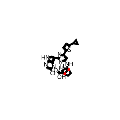 O=C(O)[C@H]1C2CCC(CC2)[C@@H]1Nc1cc(-c2ccc(C3CC3)s2)nc(-c2c[nH]c3ncc(Cl)nc23)n1